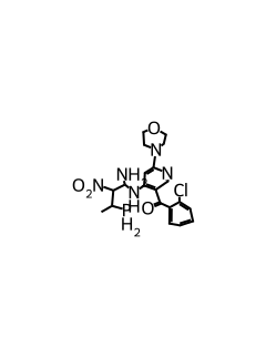 CC(P)C(C(N)Nc1cc(N2CCOCC2)ncc1C(=O)c1ccccc1Cl)[N+](=O)[O-]